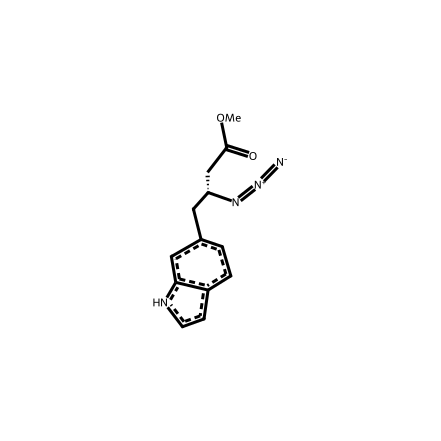 COC(=O)C[C@@H](Cc1ccc2cc[nH]c2c1)N=[N+]=[N-]